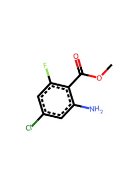 COC(=O)c1c(N)cc(Cl)cc1F